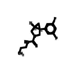 CCCNC(=S)N1C[C@@H]2C[C@]2(c2cc(F)cc(F)c2)C1